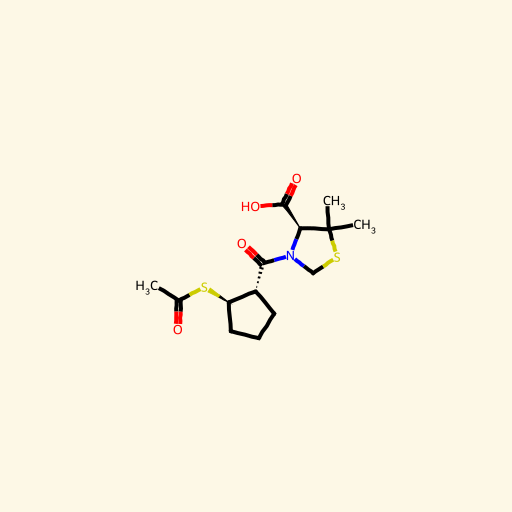 CC(=O)S[C@@H]1CCC[C@H]1C(=O)N1CSC(C)(C)[C@@H]1C(=O)O